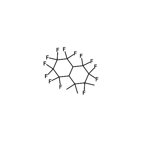 CC1(C)C2C(C(F)(F)C(F)(F)C1(C)F)C(F)(F)C(F)(F)C(F)(F)C2(F)F